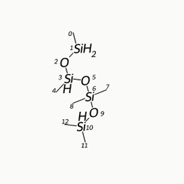 C[SiH2]O[SiH](C)O[Si](C)(C)O[SiH](C)C